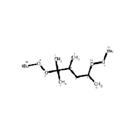 CC(CC(C)C(C)(C)OOC(C)(C)C)OOC(C)(C)C